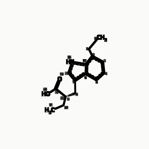 CCc1cccc2c(C[C@H](CC)C(=O)O)c[nH]c12